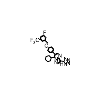 Fc1cc(COc2ccc(-c3cnc4c(-c5nnn[nH]5)cnn4c3C3CCCCC3)cc2)cc(C(F)(F)F)c1